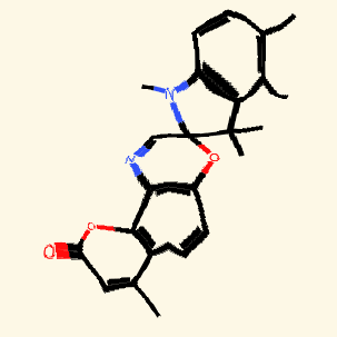 Cc1ccc2c(c1C)C(C)(C)C1(C=Nc3c(ccc4c(C)cc(=O)oc34)O1)N2C